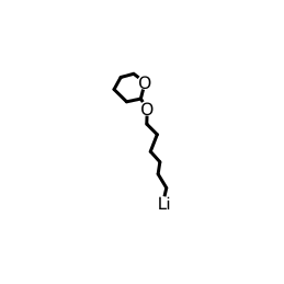 [Li][CH2]CCCCCOC1CCCCO1